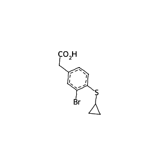 O=C(O)Cc1ccc(SC2CC2)c(Br)c1